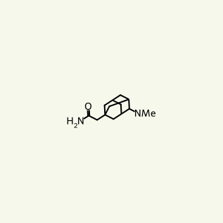 CNC1C2CC3CC1CC(CC(N)=O)(C3)C2